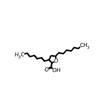 CCCCCCCC1CC(CCCCCCC)C(C(=O)O)O1